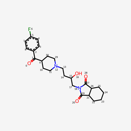 O=C(c1ccc(F)cc1)C1CCN(CCC(O)CN2C(=O)C3CCCCC3C2=O)CC1